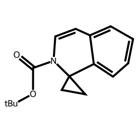 CC(C)(C)OC(=O)N1C=Cc2ccccc2C12CC2